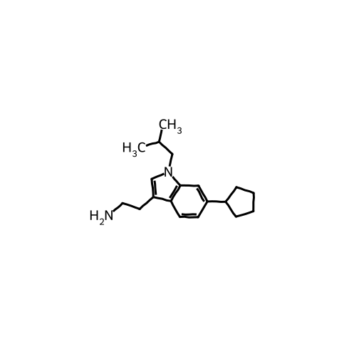 CC(C)Cn1cc(CCN)c2ccc(C3CCCC3)cc21